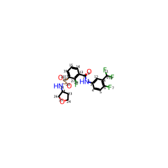 O=C(Nc1ccc(F)c(C(F)F)c1)c1cccc(S(=O)(=O)N[C@H]2CCOC2)c1F